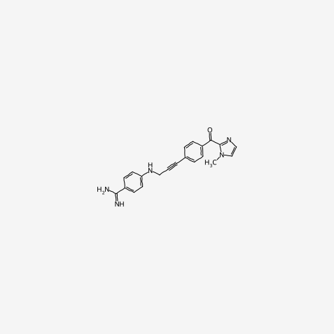 Cn1ccnc1C(=O)c1ccc(C#CCNc2ccc(C(=N)N)cc2)cc1